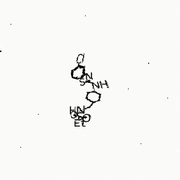 CCS(=O)(=O)NC[C@H]1CC[C@H](Nc2nc3cc(Cl)ccc3s2)CC1